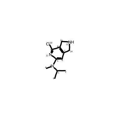 CC(C)N(C)c1cc2c(c(Cl)n1)CNC2